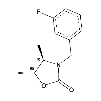 C[C@@H]1[C@@H](C)OC(=O)N1Cc1cccc(F)c1